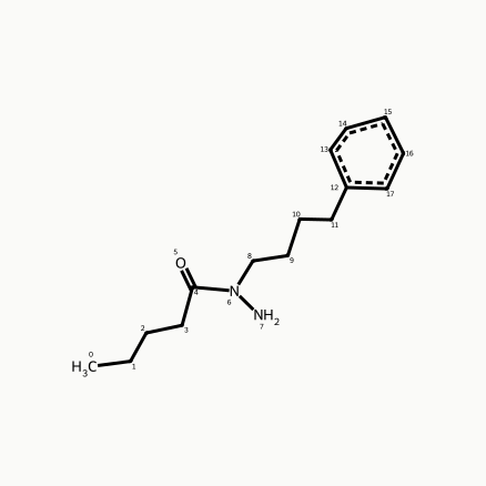 CCCCC(=O)N(N)CCCCc1ccccc1